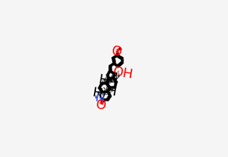 COc1cccc(C=C2C[C@H]3[C@@H]4CC[C@H]5N(C)C(=O)C=C[C@]5(C)[C@H]4CC[C@]3(C)[C@H]2O)c1